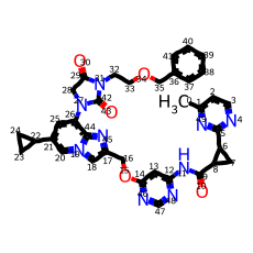 Cc1ccnc(C2CC2C(=O)Nc2cc(OCc3cn4cc(C5CC5)cc(N5CC(=O)N(CCOCc6ccccc6)C5=O)c4n3)ncn2)n1